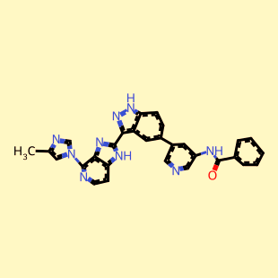 Cc1cn(-c2nccc3[nH]c(-c4n[nH]c5ccc(-c6cncc(NC(=O)c7ccccc7)c6)cc45)nc23)cn1